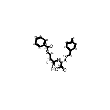 Cc1ccc(CSC[C@@H](NC(=O)[C@H](C)CSC(=O)c2ccccc2)C(=O)O)cc1